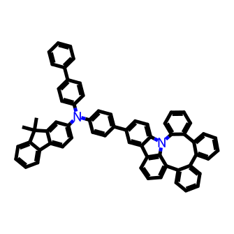 CC1(C)c2ccccc2-c2ccc(N(c3ccc(-c4ccccc4)cc3)c3ccc(-c4ccc5c(c4)c4cccc6c7ccccc7c7ccccc7c7ccccc7n5c64)cc3)cc21